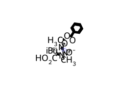 CC[C@@H](C)[C@@H](C(=O)O)N(C)/[N+]([O-])=N/OC(C)OC(=O)c1ccccc1